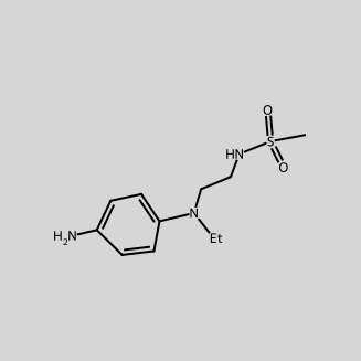 CCN(CCNS(C)(=O)=O)c1ccc(N)cc1